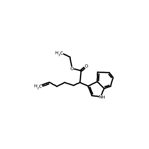 C=CCCCC(C(=O)OCC)c1c[nH]c2ccccc12